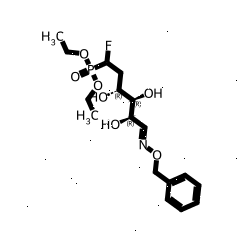 CCOP(=O)(OCC)C(F)C[C@@H](O)[C@@H](O)[C@H](O)C=NOCc1ccccc1